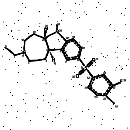 CCN1CC[C@@H]2c3cc(S(=O)(=O)c4ccc(F)c(F)c4)ccc3N(C)[C@H]2CC1